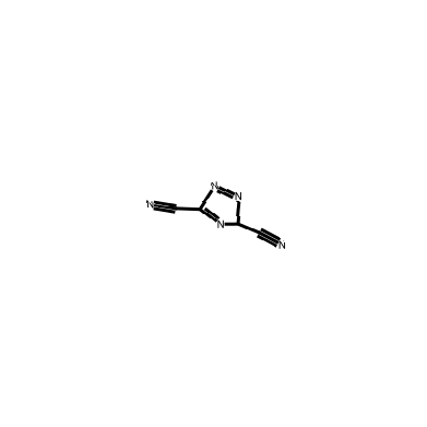 N#CC1=NC(C#N)N=N1